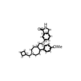 COc1ccc(C2CCN(CC3CCC3)CCC2COc2ccc3c(c2)C(=O)NC3)cc1